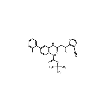 CC(C)(C)OC(=O)Nc1ccc(-c2ccccc2F)cc1NC(=O)CC(=O)c1sccc1C#N